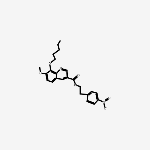 CCCCCOc1c(OC)ccc2cc(C(=O)NCCc3ccc([N+](=O)[O-])cc3)cnc12